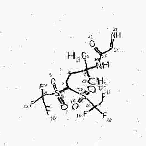 CC(C)(CC(S(=O)(=O)C(F)(F)F)S(=O)(=O)C(F)(F)F)NC(=O)C=N